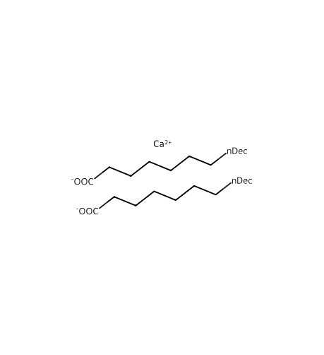 CCCCCCCCCCCCCCCCC(=O)[O-].CCCCCCCCCCCCCCCCC(=O)[O-].[Ca+2]